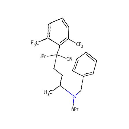 CCCN(Cc1ccccc1)C(C)CCC(C#N)(c1c(C(F)(F)F)cccc1C(F)(F)F)C(C)C